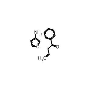 C=CCC(=O)c1ccccc1.Nc1ccoc1